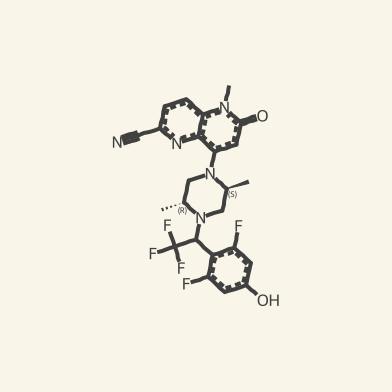 C[C@@H]1CN(c2cc(=O)n(C)c3ccc(C#N)nc23)[C@@H](C)CN1C(c1c(F)cc(O)cc1F)C(F)(F)F